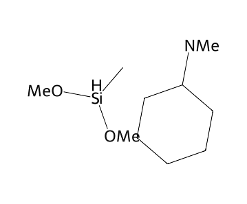 CNC1CCCCC1.CO[SiH](C)OC